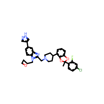 CC1(c2ccc(Cl)cc2F)Oc2cccc(C3CCN(Cc4nc5cc(-c6cn[nH]c6)ccc5n4CC4CCO4)CC3)c2O1